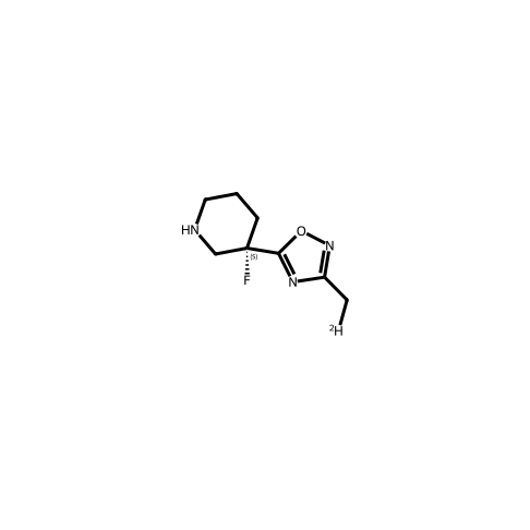 [2H]Cc1noc([C@]2(F)CCCNC2)n1